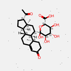 CC(=O)[C@H]1CC[C@@H]2[C@H]3CCC4=CC(=O)CC[C@]4(C)[C@@H]3[C@@H](C3(O)O[C@H](C(=O)O)[C@@H](O)[C@H](O)[C@H]3O)C[C@]12C